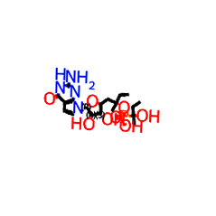 CCC(C)(CC1O[C@@H](n2ccc3c(=O)[nH]c(N)nc32)[C@H](O)[C@@H]1O)OP(=O)(O)C(C)(O)CC